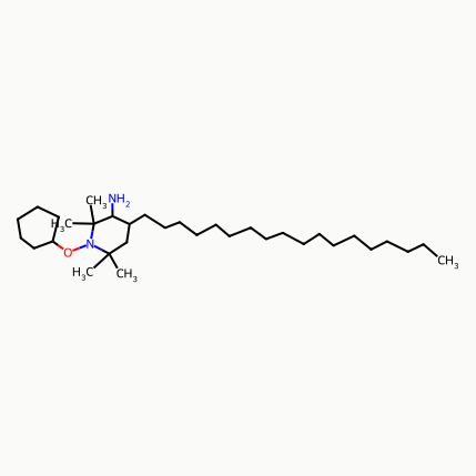 CCCCCCCCCCCCCCCCCCC1CC(C)(C)N(OC2CCCCC2)C(C)(C)C1N